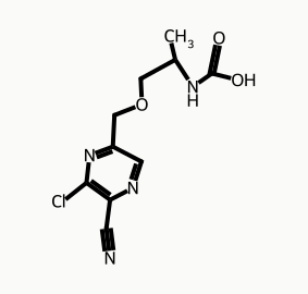 CC(COCc1cnc(C#N)c(Cl)n1)NC(=O)O